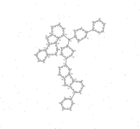 c1ccc(-c2ccc(N(c3ccc(-c4ccc5oc6c(-c7ccccc7)cccc6c5c4)cc3)c3cccc4oc5c6ccccc6ccc5c34)cc2)cc1